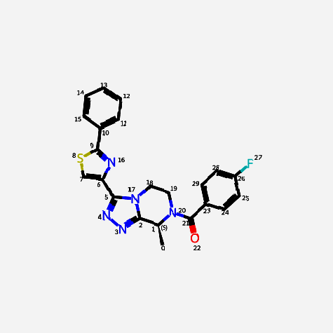 C[C@H]1c2nnc(-c3csc(-c4ccccc4)n3)n2CCN1C(=O)c1ccc(F)cc1